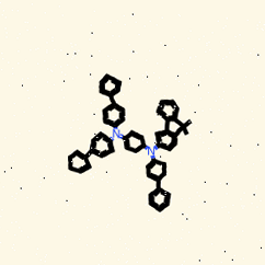 CC1(C)c2ccccc2-c2cc(N(C3=CC=C(c4ccccc4)CC3)C3C=CC(N(c4ccc(C5=CCCC=C5)cc4)c4ccc(-c5ccccc5)cc4)=CC3)ccc21